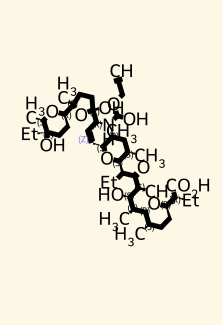 C#CCOC(O)N[C@H](/C=C\[C@H]1O[C@H](C(CC)C(=O)[C@@H](C)[C@@H](O)[C@H](C)[C@@H]2O[C@@H]([C@@H](CC)C(=O)O)CC[C@@H]2C)[C@@H](C)C[C@H]1C)[C@@]1(O)CC[C@@](C)([C@H]2CC[C@](O)(CC)[C@H](C)O2)O1